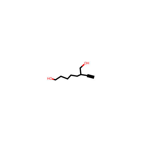 C#CC(CO)CCCCCO